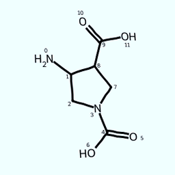 NC1CN(C(=O)O)CC1C(=O)O